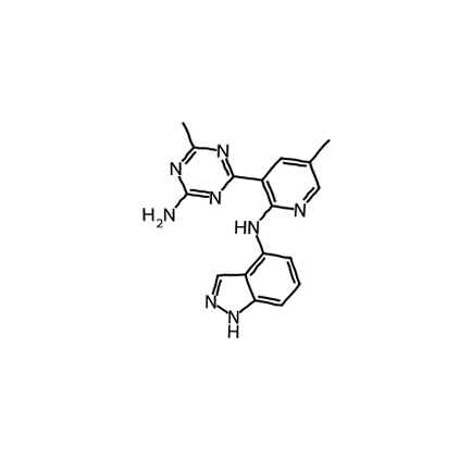 Cc1cnc(Nc2cccc3[nH]ncc23)c(-c2nc(C)nc(N)n2)c1